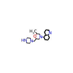 CC1CN(c2cccc3ncccc23)CC(CN2CCNCC2)O1